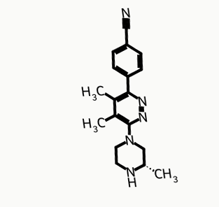 Cc1c(-c2ccc(C#N)cc2)nnc(N2CCN[C@@H](C)C2)c1C